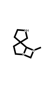 CN1CN2CCC3(CCNC3)C12